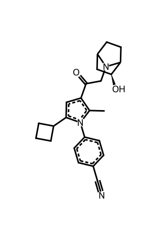 Cc1c(C(=O)CN2C3CCC2[C@@H](O)C3)cc(C2CCC2)n1-c1ccc(C#N)cc1